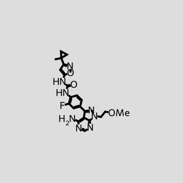 COCCn1nc(-c2ccc(NC(=O)Nc3cc(C4(C)CC4)no3)c(F)c2)c2c(N)ncnc21